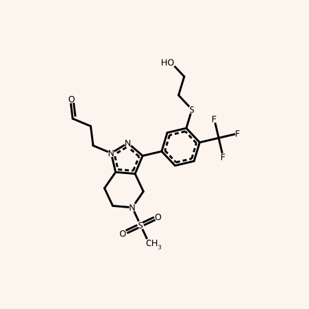 CS(=O)(=O)N1CCc2c(c(-c3ccc(C(F)(F)F)c(SCCO)c3)nn2CCC=O)C1